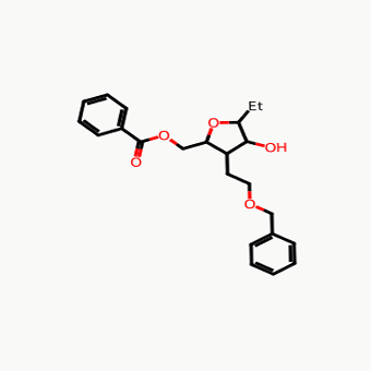 CCC1OC(COC(=O)c2ccccc2)C(CCOCc2ccccc2)C1O